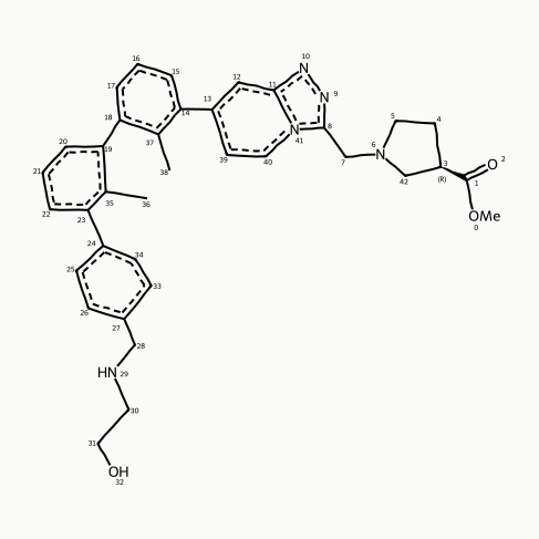 COC(=O)[C@@H]1CCN(Cc2nnc3cc(-c4cccc(-c5cccc(-c6ccc(CNCCO)cc6)c5C)c4C)ccn23)C1